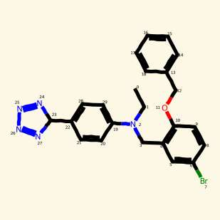 CCN(Cc1cc(Br)ccc1OCc1ccccc1)c1ccc(C2N=NN=N2)cc1